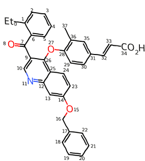 CCc1ccccc1C(=O)c1cnc2cc(OCc3ccccc3)ccc2c1Oc1ccc(/C=C/C(=O)O)cc1C